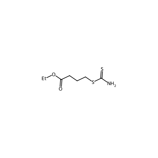 CCOC(=O)CCCSC(N)=S